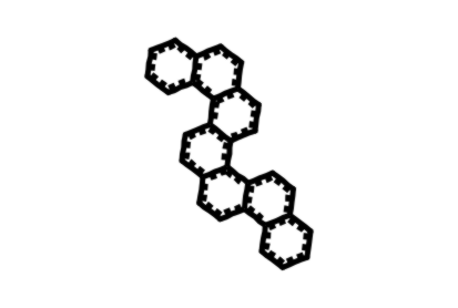 c1ccc2c(c1)ccc1c2ccc2ccc3c(ccc4ccc5ccccc5c43)c21